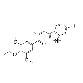 CCOc1c(OC)cc(C(=O)C(C)=Cc2c[nH]c3cc(Cl)ccc23)cc1OC